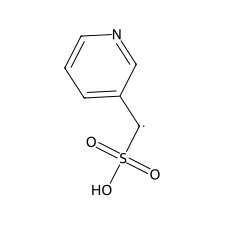 O=S(=O)(O)[CH]c1cccnc1